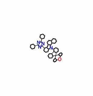 c1ccc(-c2nc(-c3ccccc3)nc(-c3cccc4c3c3ccc5ccccc5c3n4-c3cccc4c3-c3ccccc3C43c4ccccc4Oc4ccccc43)n2)cc1